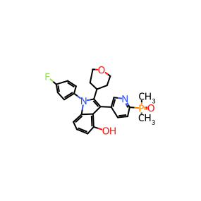 CP(C)(=O)c1ccc(-c2c(C3CCOCC3)n(-c3ccc(F)cc3)c3cccc(O)c23)cn1